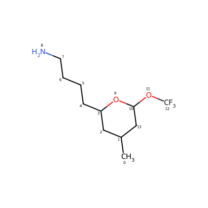 CC1CC(CCCCN)OC(OC(F)(F)F)C1